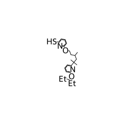 CCC(CC)Oc1cccc(C(C)(C)CC(C)CCOc2cccc(S)n2)n1